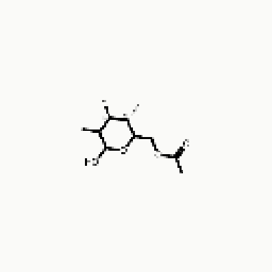 CC(=O)OCC1OC(O)C(C)[C@@H](F)[C@@H]1C